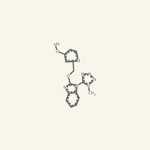 CCCOc1ccnc(COc2nc3ccccc3n2-c2nnnn2C)c1